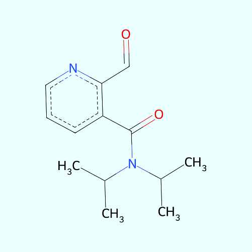 CC(C)N(C(=O)c1cccnc1C=O)C(C)C